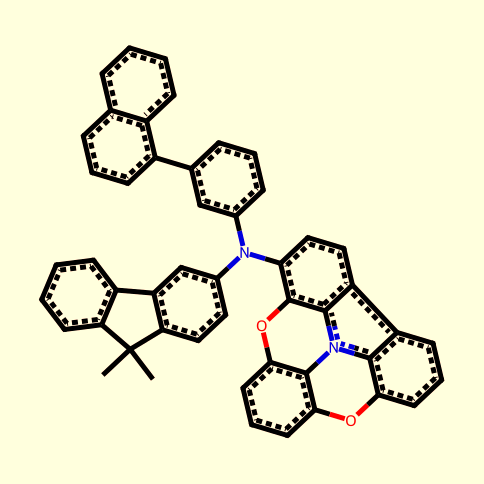 CC1(C)c2ccccc2-c2cc(N(c3cccc(-c4cccc5ccccc45)c3)c3ccc4c5cccc6c5n5c4c3Oc3cccc(c3-5)O6)ccc21